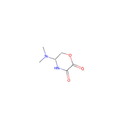 CN(C)C1COC(=O)C(=O)N1